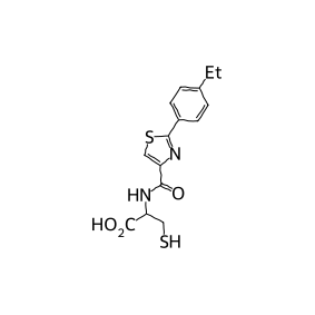 CCc1ccc(-c2nc(C(=O)NC(CS)C(=O)O)cs2)cc1